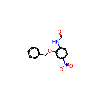 O=CNc1ccc([N+](=O)[O-])cc1OCc1ccccc1